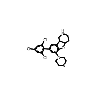 Clc1cc(Cl)c(-c2cc3c(c(N4CCSCC4)c2)OC2CCNCC32)c(Cl)c1